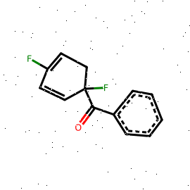 O=C(c1ccccc1)C1(F)C=CC(F)=CC1